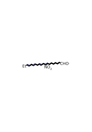 CC/C=C/C/C=C/C/C=C/C/C(=C/CCCCCC[C]=O)[N+](=O)[O-]